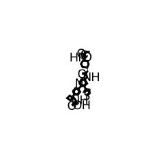 CCS(=O)(=O)N[C@H]1CC[C@H](CC(=O)Nc2cnc(-c3ccc(C4(NC(=O)O)CCC4)cc3)c(-c3ccsc3)c2)CC1